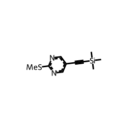 CSc1ncc(C#C[Si](C)(C)C)cn1